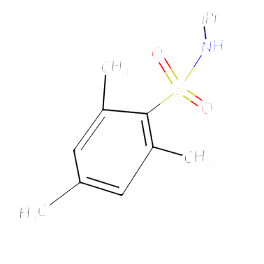 [CH2]C(C)NS(=O)(=O)c1c(C)cc(C)cc1C